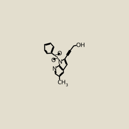 Cc1cnc2c(c1)cc(C#CCO)n2S(=O)(=O)c1ccccc1